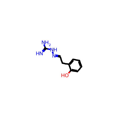 N=C(N)NN=CCc1ccccc1O